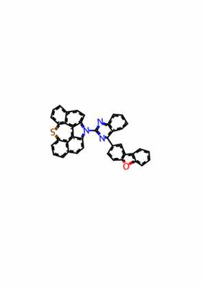 c1ccc2c(-c3ccc4oc5ccccc5c4c3)nc(-n3c4ccc5cccc6sc7cccc8ccc3c(c87)c4c56)nc2c1